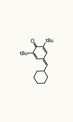 CC(C)(C)C1=CC(=CC2CCCCC2)C=C(C(C)(C)C)C1=O